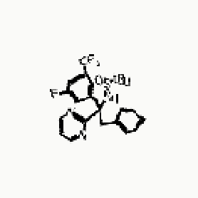 CC(C)(C)[S+]([O-])N[C@@](Cc1ccccc1)(c1cc(F)cc(C(F)(F)F)c1)c1ncccn1